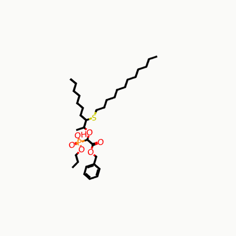 CCCCCCCCCCCCSC(CCCCCCC)C(C)OC(C(=O)OCc1ccccc1)P(=O)(O)OCCC